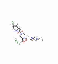 CNC(=O)C1CN(S(=O)(=O)c2cc3cc(Cl)ccc3[nH]2)CCN1C(=O)c1nc2c(s1)CN(C)CC2.Cl